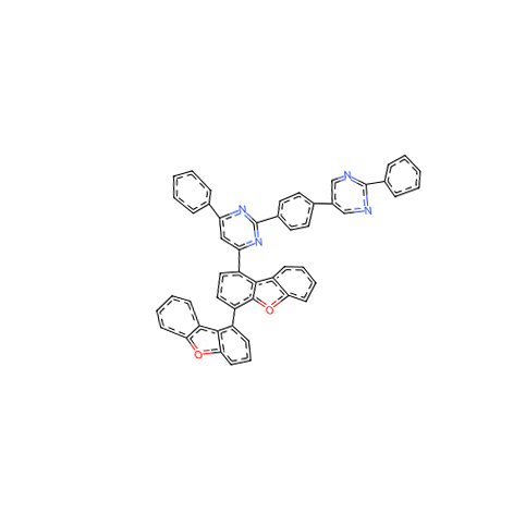 c1ccc(-c2cc(-c3ccc(-c4cccc5oc6ccccc6c45)c4oc5ccccc5c34)nc(-c3ccc(-c4cnc(-c5ccccc5)nc4)cc3)n2)cc1